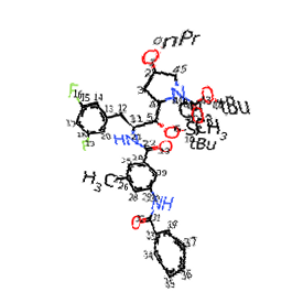 CCCOC1CC([C@@H](O[Si](C)(C)C(C)(C)C)[C@H](Cc2cc(F)cc(F)c2)NC(=O)c2cc(C)cc(NC(=O)c3ccccc3)c2)N(C(=O)OC(C)(C)C)C1